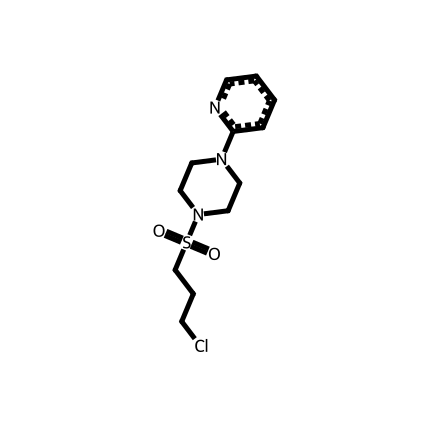 O=S(=O)(CCCCl)N1CCN(c2ccccn2)CC1